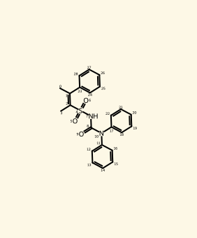 CC(=C(C)S(=O)(=O)NC(=O)N(c1ccccc1)c1ccccc1)c1ccccc1